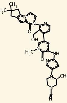 C[C@H]1CN(C#N)CCN1c1ccc(Nc2cc(-c3ccnc(-n4ccn5c6c(cc5c4=O)CC(C)(C)C6)c3CO)cn(C)c2=O)nc1